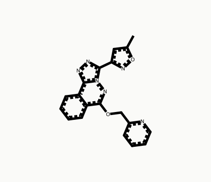 Cc1cc(-c2nnc3c4ccccc4c(OCc4ccccn4)nn23)no1